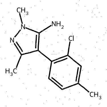 Cc1ccc(-c2c(C)nn(C)c2N)c(Cl)c1